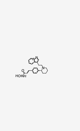 O=C(/C=C/c1ccc([C@@H]2CCCCN2CCc2cnn3ccccc23)cc1)NO